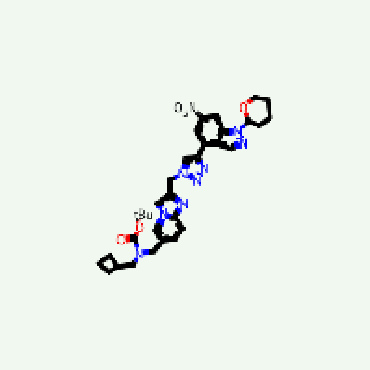 CC(C)(C)OC(=O)N(Cc1ccc2nc(Cn3cc(-c4cc([N+](=O)[O-])cc5c4cnn5C4CCCCO4)nn3)cn2c1)CC1CCC1